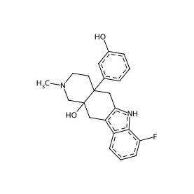 CN1CCC2(c3cccc(O)c3)Cc3[nH]c4c(F)cccc4c3CC2(O)C1